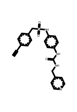 C#Cc1ccc(CS(=O)(=O)Nc2ccc(NC(=O)NCc3ccncc3)cc2)cc1